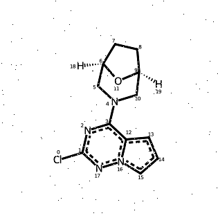 Clc1nc(N2C[C@H]3CC[C@@H](C2)O3)c2cccn2n1